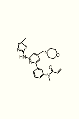 C=CC(=O)N(C)c1cccc(-c2cc(CN3CCOCC3)cc(Nc3ncc(C)s3)n2)c1